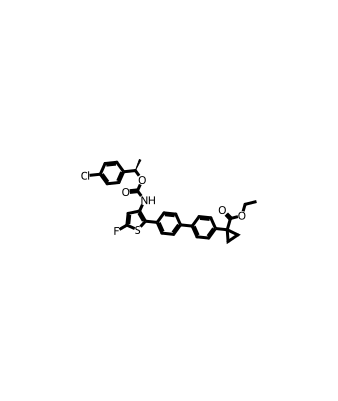 CCOC(=O)C1(c2ccc(-c3ccc(-c4sc(F)cc4NC(=O)O[C@H](C)c4ccc(Cl)cc4)cc3)cc2)CC1